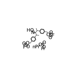 CC(C(=NO)C(C)c1ccc(COS(=O)(=O)F)cc1)c1ccc(COS(=O)(=O)F)cc1.CCCO[SH](=O)=O